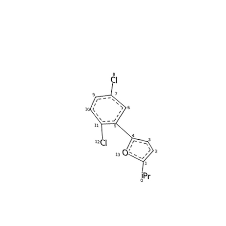 CC(C)c1ccc(-c2cc(Cl)ccc2Cl)o1